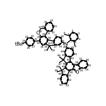 Cc1cccc(C)c1N(c1ccc2c(c1)C(C)(C)c1cc(-c3ccc(C(C)(C)C)cc3)c3c(c1-2)-c1ccccc1CO3)c1ccc2c(c1)C(C)(C)c1c3c(c4oc5ccccc5c4c1-2)-c1ccccc1C3(C)C